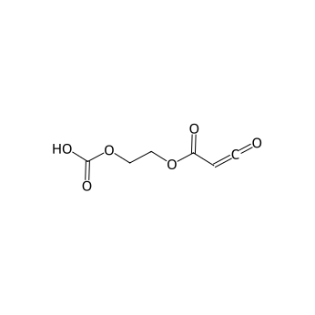 O=C=CC(=O)OCCOC(=O)O